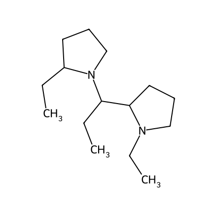 CCC1CCCN1C(CC)C1CCCN1CC